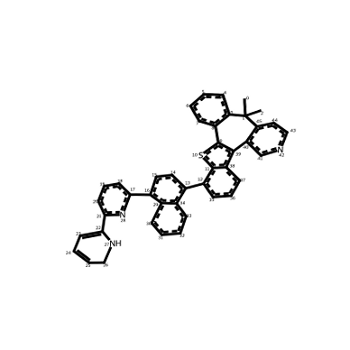 CC1(C)c2ccccc2-c2sc3c(-c4ccc(-c5cccc(C6=CC=CCN6)n5)c5ccccc45)cccc3c2-c2cnccc21